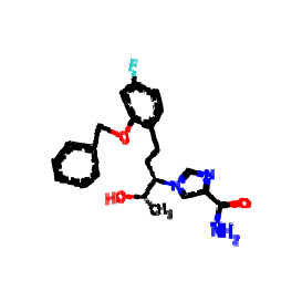 C[C@H](O)[C@@H](CCc1ccc(F)cc1OCc1ccccc1)n1cnc(C(N)=O)c1